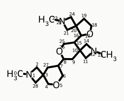 CN1CC2(COCC(C3CC4(CN(C)C4)C(C4OCCC45CN(C)C5)CO3)C2)C1